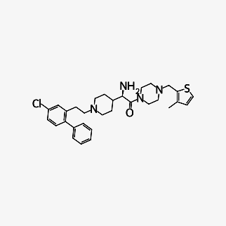 Cc1ccsc1CN1CCN(C(=O)[C@H](N)C2CCN(CCc3cc(Cl)ccc3-c3ccccc3)CC2)CC1